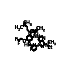 C=CC(=O)Nc1cc(Nc2nccc(-n3nc(N(C)CC)c4ncccc43)n2)c(OCC(F)F)cc1N(C)CCN(C)C